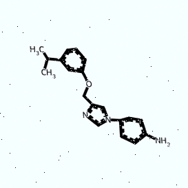 CC(C)c1cccc(OCc2cn(-c3ccc(N)cc3)cn2)c1